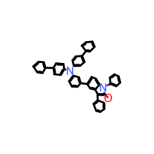 c1ccc(-c2ccc(N(c3ccc(-c4ccccc4)cc3)c3cccc(-c4ccc5c(c4)c4c6ccccc6oc4n5-c4ccccc4)c3)cc2)cc1